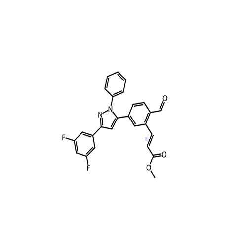 COC(=O)/C=C/c1cc(-c2cc(-c3cc(F)cc(F)c3)nn2-c2ccccc2)ccc1C=O